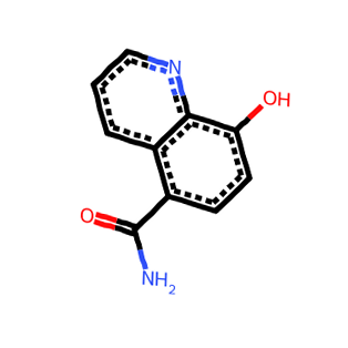 NC(=O)c1ccc(O)c2ncccc12